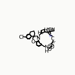 C[C@@H]1[C@@H](C)C/C=C/[C@](O)(C(C)(C)C#N)[C@@H]2CC[C@H]2CN2C[C@@]3(CCCc4cc(Cl)ccc43)COc3ccc(cc32)CNS1(=O)=O